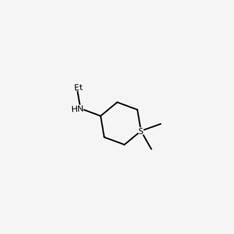 CCNC1CCS(C)(C)CC1